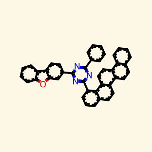 c1ccc(-c2nc(-c3ccc4c(c3)oc3ccccc34)nc(-c3cccc4ccc5c6ccc7ccccc7c6ccc5c34)n2)cc1